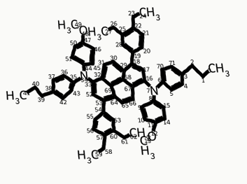 CCCc1ccc(N(c2ccc(OC)cc2)c2cc(-c3ccc(CC)c(CC)c3)c3ccc4c(N(c5ccc(CCC)cc5)c5ccc(OC)cc5)cc(-c5ccc(CC)c(CC)c5)c5ccc2c3c54)cc1